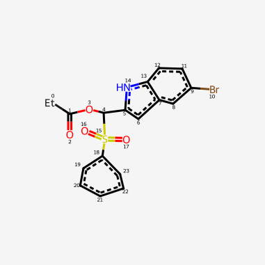 CCC(=O)OC(c1cc2cc(Br)ccc2[nH]1)S(=O)(=O)c1ccccc1